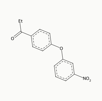 CCC(=O)c1ccc(Oc2cccc([N+](=O)[O-])c2)cc1